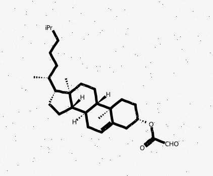 CC(C)CCC[C@@H](C)[C@H]1CC[C@H]2[C@@H]3CC=C4C[C@@H](OC(=O)C=O)CC[C@]4(C)[C@H]3CC[C@]12C